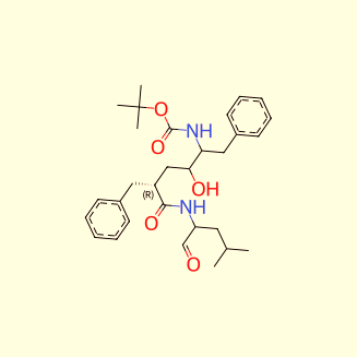 CC(C)CC(C=O)NC(=O)[C@H](Cc1ccccc1)CC(O)C(Cc1ccccc1)NC(=O)OC(C)(C)C